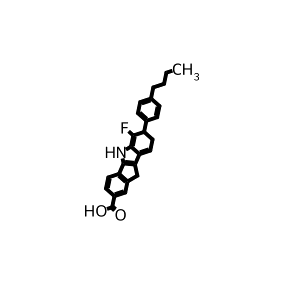 CCCCc1ccc(C2CC=c3c4c([nH]c3=C2F)-c2ccc(C(=O)O)cc2C4)cc1